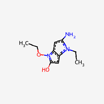 CCOn1c(O)cc2c1cc(N)n2CC